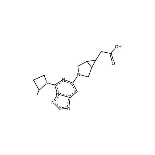 CC1CCN1c1nc(N2CC3C(CC(=O)O)C3C2)cc2ncnn12